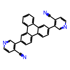 N#Cc1ccncc1-c1ccc2c3ccc(-c4cnccc4C#N)cc3c3ccccc3c2c1